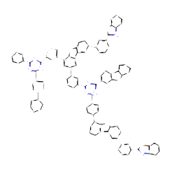 C1=C(c2nc(C3=CC(c4cc(-c5cccc(-c6nc(-c7ccc(-c8cccc9c8sc8ccc(-c%10cccc(-c%11nc%12ccccc%12s%11)c%10)cc89)cc7)nc(-c7ccc8c(c7)sc7ccccc78)n6)c5)cc5c4sc4ccc(-c6cccc(-c7nc8ccccc8s7)c6)cc45)=CCC3)nc(-c3ccccc3)n2)C=C2Sc3ccccc3C2C1